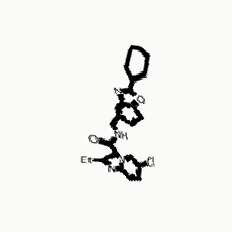 CCc1nc2ccc(Cl)cn2c1C(=O)NCc1ccc2oc(C3CCCCC3)nc2c1